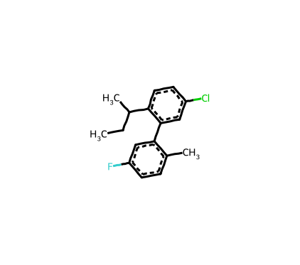 CCC(C)c1ccc(Cl)cc1-c1cc(F)ccc1C